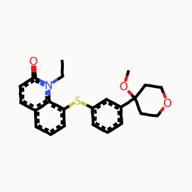 CCn1c(=O)ccc2cccc(Sc3cccc(C4(OC)CCOCC4)c3)c21